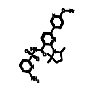 CC(C)Oc1ccc(-c2ccc(C(=O)NS(=O)(=O)c3cccc(N)n3)c(N3C(C)CCC3(C)C)n2)cn1